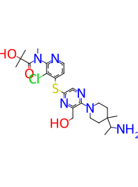 CC(N)C1(C)CCN(c2ncc(Sc3ccnc(N(C)C(=O)C(C)(C)O)c3Cl)nc2CO)CC1